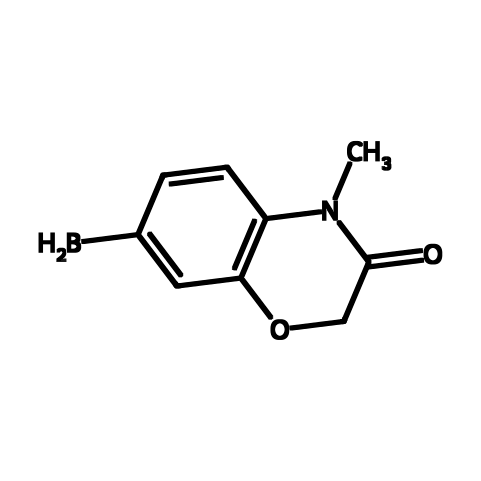 Bc1ccc2c(c1)OCC(=O)N2C